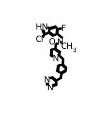 CN(Cc1cc2c(Cl)c[nH]c2cc1F)C(=O)c1ccnc(Cc2ccc(Cc3cncnc3)cc2)c1